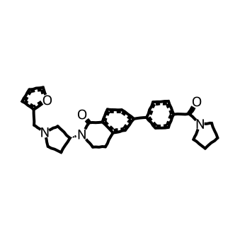 O=C(c1ccc(-c2ccc3c(c2)CCN([C@@H]2CCN(Cc4ccco4)C2)C3=O)cc1)N1CCCC1